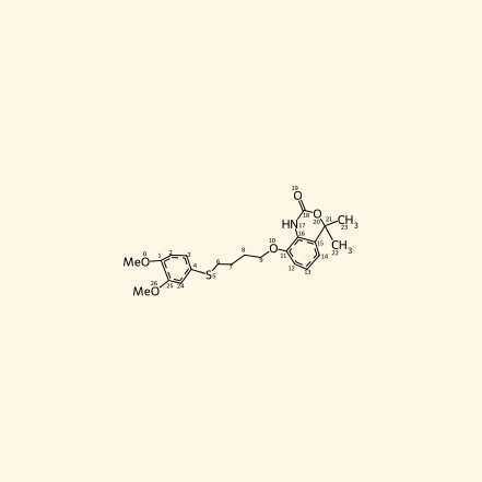 COc1ccc(SCCCCOc2cccc3c2NC(=O)OC3(C)C)cc1OC